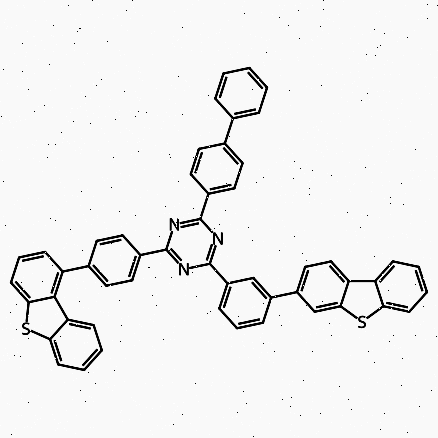 c1ccc(-c2ccc(-c3nc(-c4ccc(-c5cccc6sc7ccccc7c56)cc4)nc(-c4cccc(-c5ccc6c(c5)sc5ccccc56)c4)n3)cc2)cc1